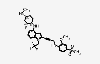 CN[C@H]1CC[C@@H](Nc2cccc3c2cc(C#CCNc2ccc(S(C)(=O)=O)cc2OC)n3CC(F)(F)F)[C@H](F)C1